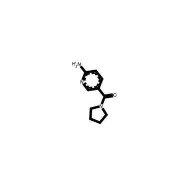 Nc1ccc(C(=O)N2CCCC2)cn1